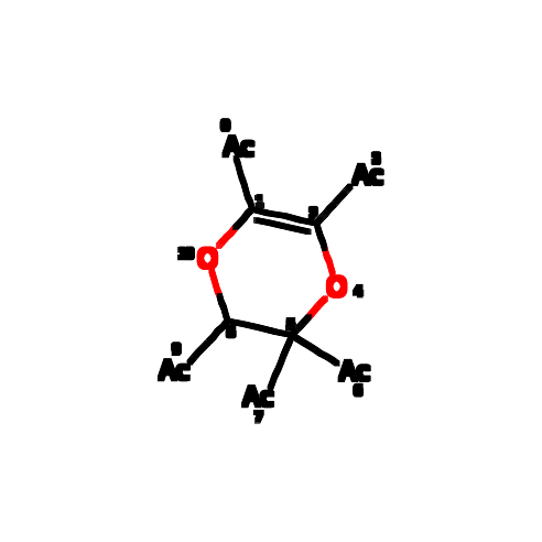 CC(=O)C1=C(C(C)=O)OC(C(C)=O)(C(C)=O)C(C(C)=O)O1